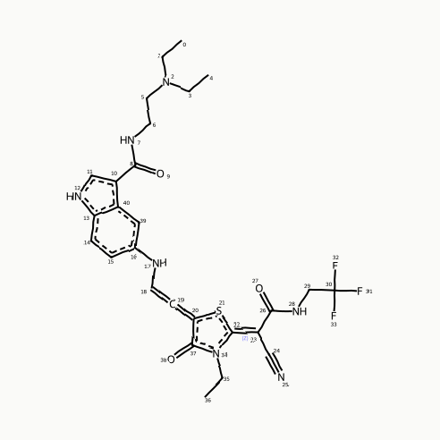 CCN(CC)CCNC(=O)c1c[nH]c2ccc(NC=C=c3s/c(=C(/C#N)C(=O)NCC(F)(F)F)n(CC)c3=O)cc12